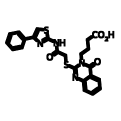 O=C(O)CCCn1c(SCC(=O)Nc2nc(-c3ccccc3)cs2)nc2ccccc2c1=O